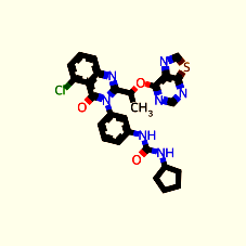 CC(Oc1ncnc2scnc12)c1nc2cccc(Cl)c2c(=O)n1-c1cccc(NC(=O)NC2CCCC2)c1